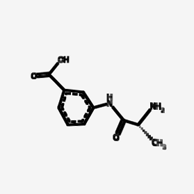 C[C@@H](N)C(=O)Nc1cccc(C(=O)O)c1